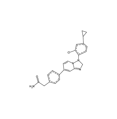 NC(=O)Cc1ccc(C2=CC3=NCN(c4ccc(C5CC5)cc4Cl)N3C=C2)cc1